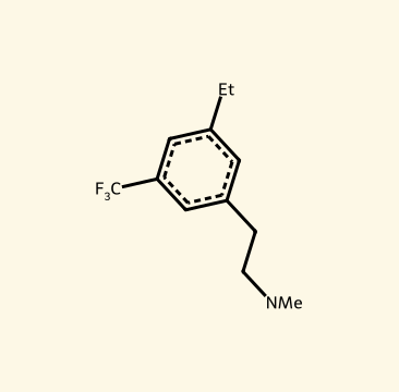 CCc1cc(CCNC)cc(C(F)(F)F)c1